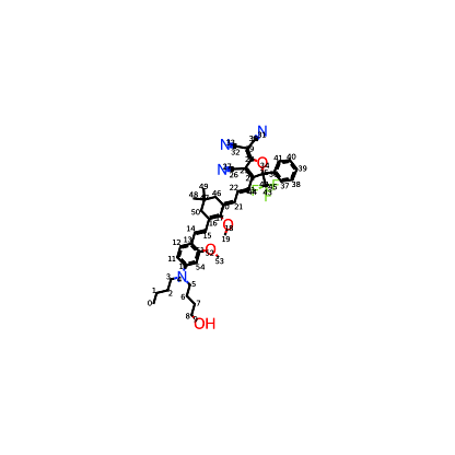 CCCCN(CCCCO)c1ccc(/C=C/C2=C(OC)C(=C/C=C/C3=C(C#N)C(=C(C#N)C#N)OC3(c3ccccc3)C(F)(F)F)/CC(C)(C)C2)c(OC)c1